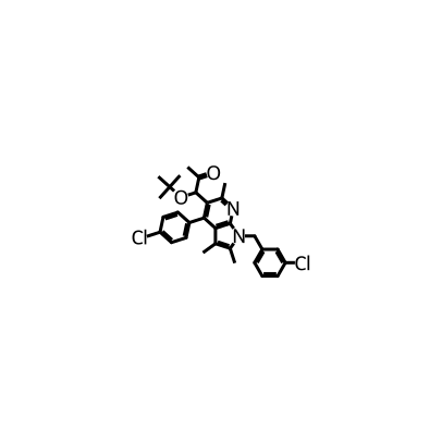 CC(=O)C(OC(C)(C)C)c1c(C)nc2c(c(C)c(C)n2Cc2cccc(Cl)c2)c1-c1ccc(Cl)cc1